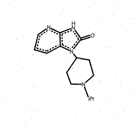 CC(C)N1CCC(n2c(=O)[nH]c3ncccc32)CC1